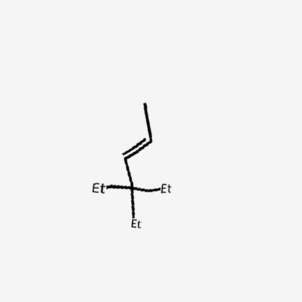 C/C=C/C(CC)(CC)CC